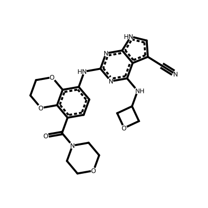 N#Cc1c[nH]c2nc(Nc3ccc(C(=O)N4CCOCC4)c4c3OCCO4)nc(NC3COC3)c12